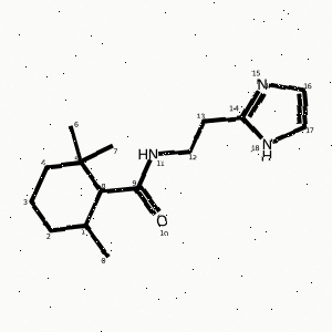 CC1CCCC(C)(C)C1C(=O)NCCc1ncc[nH]1